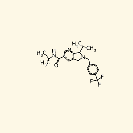 CC(C)NC(=O)c1cnc2c(c1)CN(Cc1ccc(C(F)(F)F)cc1)C2C(C)C